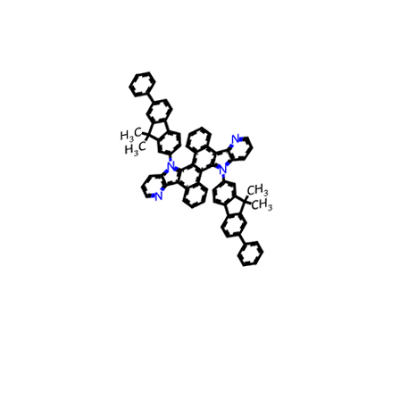 CC1(C)c2cc(-c3ccccc3)ccc2-c2ccc(-n3c4cccnc4c4c5ccccc5c5c(c6ccccc6c6c7ncccc7n(-c7ccc8c(c7)C(C)(C)c7cc(-c9ccccc9)ccc7-8)c65)c43)cc21